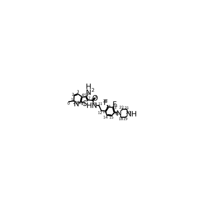 Cc1ccc2c(N)c(C(=O)NCCc3ccc(N4CCNCC4)c(F)c3F)sc2n1